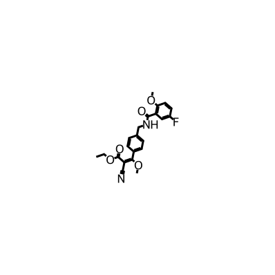 CCOC(=O)C(C#N)=C(OC)c1ccc(CNC(=O)c2cc(F)ccc2OC)cc1